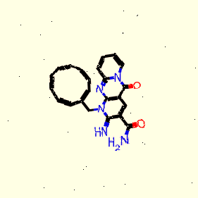 N=c1c(C(N)=O)cc2c(=O)n3ccccc3nc2n1Cc1ccccccccc1